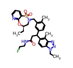 CC[C@@H]1CN(Cc2cc(C(CC(=O)NCCF)c3ccc4c(nnn4CC)c3C)ccc2C)S(=O)(=O)c2cccnc2O1